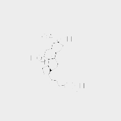 CC(=O)O[C@@]1(O)CC[C@@]2(C)C(C[C@@H](O)[C@H]3[C@@H]4CC[C@H]([C@H](C)CCC(=O)O)[C@@]4(C)CC[C@@H]32)C1